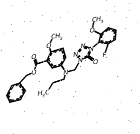 CCCN(Cn1nnn(-c2c(F)cccc2OC)c1=O)c1ccc(OC)c(C(=O)OCc2ccccc2)c1